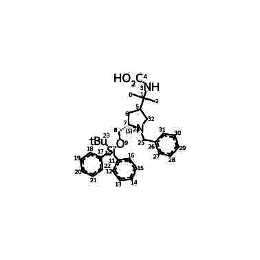 CC(C)(NC(=O)O)C1C[C@@H](CO[Si](c2ccccc2)(c2ccccc2)C(C)(C)C)N(Cc2ccccc2)C1